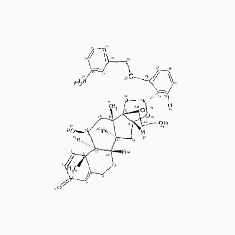 C[C@]12C=CC(=O)C=C1CC[C@@H]1[C@@H]2[C@@H](O)C[C@@]2(C)[C@H]1C[C@H]1O[C@@H](c3c(Cl)cccc3OCc3cccc(N)c3)O[C@]12C(=O)CO